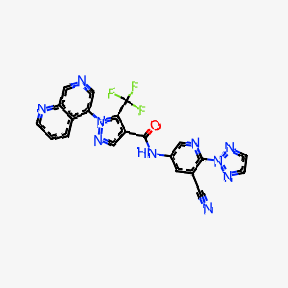 N#Cc1cc(NC(=O)c2cnn(-c3cncc4ncccc34)c2C(F)(F)F)cnc1-n1nccn1